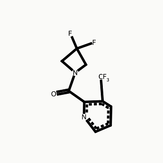 O=C(c1ncccc1C(F)(F)F)N1CC(F)(F)C1